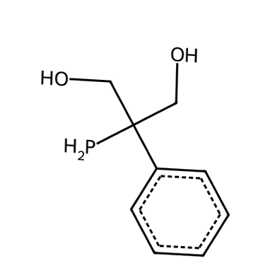 OCC(P)(CO)c1ccccc1